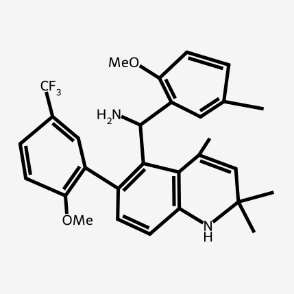 COc1ccc(C(F)(F)F)cc1-c1ccc2c(c1C(N)c1cc(C)ccc1OC)C(C)=CC(C)(C)N2